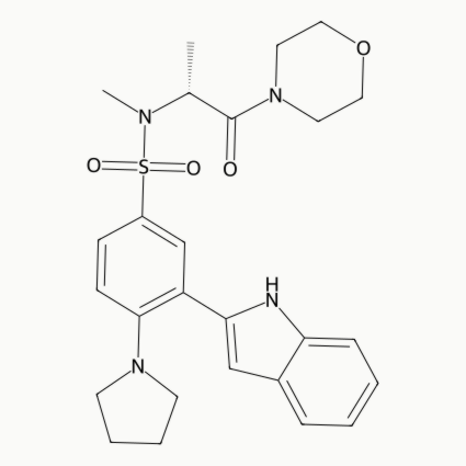 C[C@H](C(=O)N1CCOCC1)N(C)S(=O)(=O)c1ccc(N2CCCC2)c(-c2cc3ccccc3[nH]2)c1